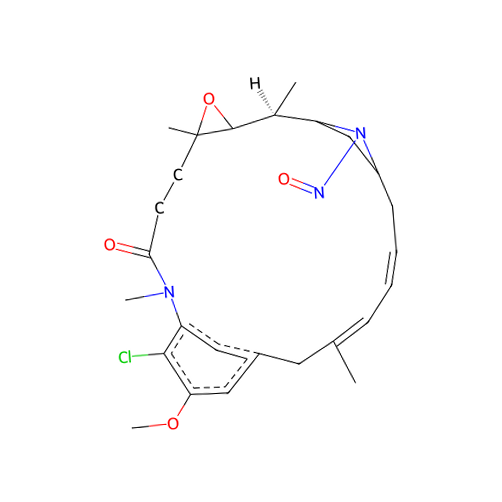 COc1cc2cc(c1Cl)N(C)C(=O)CCC1(C)OC1[C@@H](C)C1CC(C/C=C\C=C(\C)C2)N1N=O